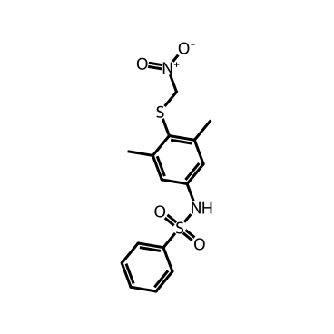 Cc1cc(NS(=O)(=O)c2ccccc2)cc(C)c1SC[N+](=O)[O-]